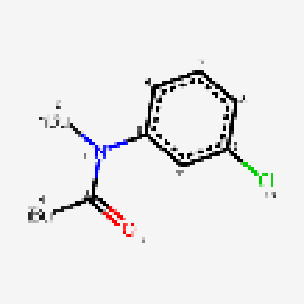 CCCCN(C(=O)C(C)CC)c1cccc(Cl)c1